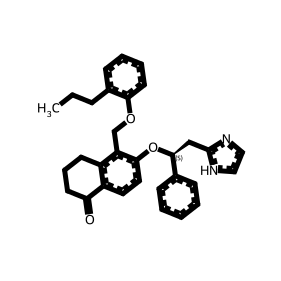 CCCc1ccccc1OCc1c(O[C@@H](Cc2ncc[nH]2)c2ccccc2)ccc2c1CCCC2=O